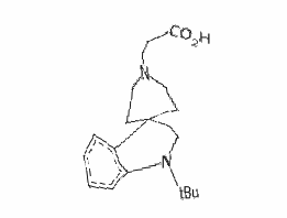 CC(C)(C)N1CC2(CCN(CC(=O)O)CC2)c2ccccc21